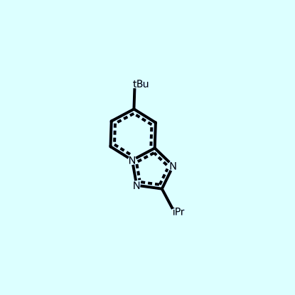 CC(C)c1nc2cc(C(C)(C)C)ccn2n1